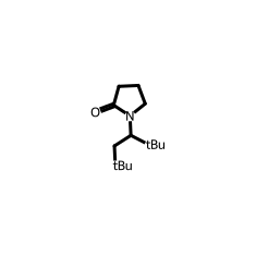 CC(C)(C)CC(N1CCCC1=O)C(C)(C)C